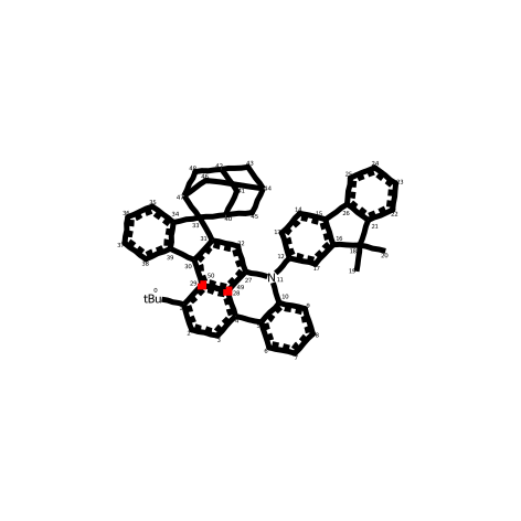 CC(C)(C)c1ccc(-c2ccccc2N(c2ccc3c(c2)C(C)(C)c2ccccc2-3)c2ccc3c(c2)C2(c4ccccc4-3)C3CC4CC(C3)CC2C4)cc1